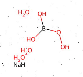 O.O.O.OOB(O)O.[NaH]